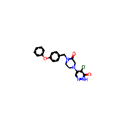 O=C1CN(c2cn[nH]c(=O)c2Cl)CCN1Cc1ccc(Oc2ccccc2)cc1